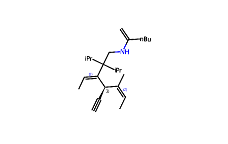 C#C[C@H](/C(C)=C\C)/C(=C\C)C(CNC(=C)CCCC)(C(C)C)C(C)C